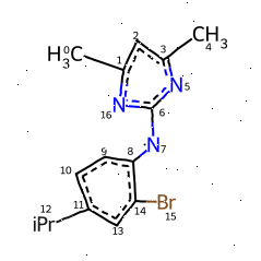 Cc1cc(C)nc([N]c2ccc(C(C)C)cc2Br)n1